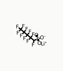 O=S(=O)([O-])C(F)C(F)(F)C(F)(F)C(F)(F)C(F)(F)F.[Li+]